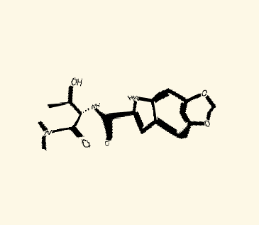 C[C@@H](O)[C@H](NC(=O)c1cc2cc3c(cc2[nH]1)OCO3)C(=O)N(C)C